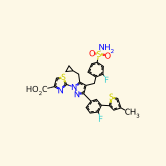 Cc1csc(-c2cc(-c3nn(-c4nc(C(=O)O)cs4)c(CC4CC4)c3Cc3ccc(S(N)(=O)=O)cc3F)ccc2F)c1